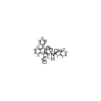 O=C(N[C@H](O)Cc1ccccc1)[C@@H]1C/C(=C\Cl)CN1C(=O)C(c1ccccc1)c1ccccc1